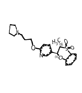 C[C@H]1[C@H](c2ccc(OCCCN3CCCC3)nc2)Oc2ccccc2S1(=O)=O